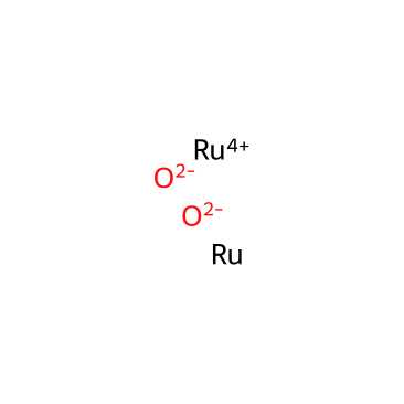 [O-2].[O-2].[Ru+4].[Ru]